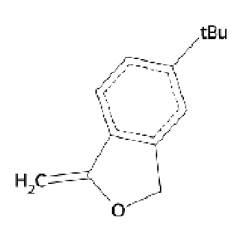 C=C1OCc2cc(C(C)(C)C)ccc21